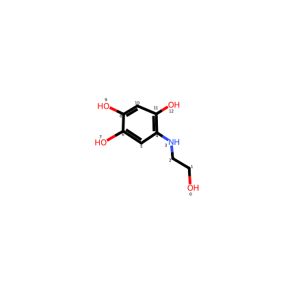 OCCNc1cc(O)c(O)cc1O